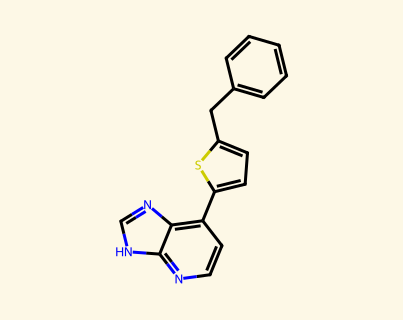 c1ccc(Cc2ccc(-c3ccnc4[nH]cnc34)s2)cc1